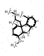 CNCCC12C(C)=CC=C(OC)[C@@H]1Oc1cccc(C)c12